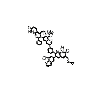 CNCc1c(-c2cc(Cl)c3ncc(-c4cccc(-c5nc6[nH]c(=O)c(CSC7CC7)cc6cc5-c5cc(Cl)c6ncccc6c5)c4)cc3c2)c(-c2ccccc2)nc2[nH]c(=O)ccc12